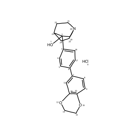 Cl.OC1(c2ccc(-c3ccc4c(c3)OCCO4)cc2)CN2CCC1CC2